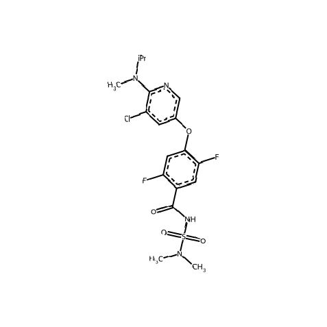 CC(C)N(C)c1ncc(Oc2cc(F)c(C(=O)NS(=O)(=O)N(C)C)cc2F)cc1Cl